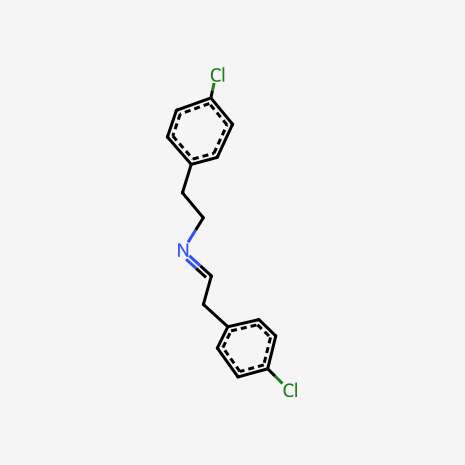 Clc1ccc(CC=NCCc2ccc(Cl)cc2)cc1